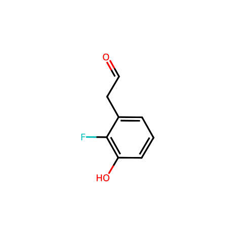 O=CCc1cccc(O)c1F